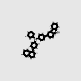 c1ccc(N(c2ccc(-c3ccc4[nH]c5ccccc5c4c3)cc2)c2ccc(-c3cccc4ccccc34)cc2)cc1